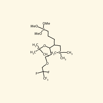 CO[Si](CCCC(C[Si](C)(C)C)C(CCOCC(F)(F)C(F)(F)F)O[Si](C)(C)C)(OC)OC